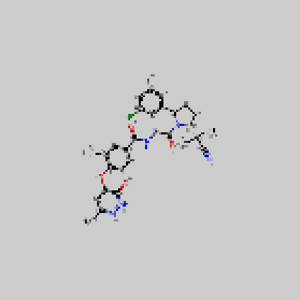 Cc1cc(Oc2ccc(C(=O)NCC(=O)N3C(c4cc(F)cc(F)c4)CC[C@@H]3C(C)(C)C#N)cc2C)c(=O)[nH]n1